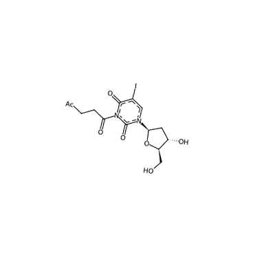 CC(=O)CCC(=O)n1c(=O)c(I)cn([C@H]2C[C@H](O)[C@@H](CO)O2)c1=O